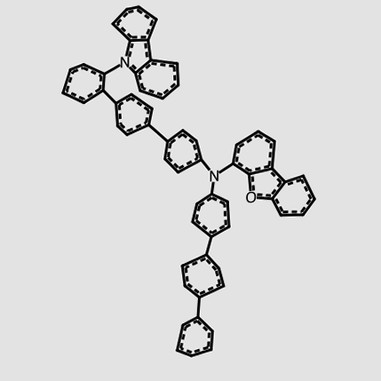 c1ccc(-c2ccc(-c3ccc(N(c4ccc(-c5ccc(-c6ccccc6-n6c7ccccc7c7ccccc76)cc5)cc4)c4cccc5c4oc4ccccc45)cc3)cc2)cc1